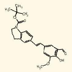 COc1cc(/C=C/c2ccc3c(c2)CCCN3C(=O)OC(C)(C)C)cc(C=O)c1O